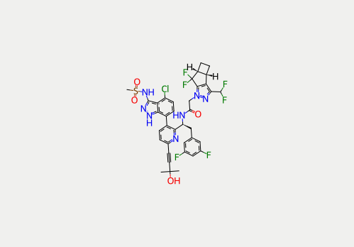 CC(C)(O)C#Cc1ccc(-c2ccc(Cl)c3c(NS(C)(=O)=O)n[nH]c23)c([C@H](Cc2cc(F)cc(F)c2)NC(=O)Cn2nc(C(F)F)c3c2C(F)(F)[C@@H]2CC[C@H]32)n1